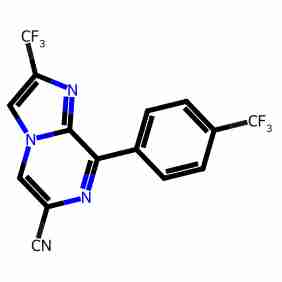 N#Cc1cn2cc(C(F)(F)F)nc2c(-c2ccc(C(F)(F)F)cc2)n1